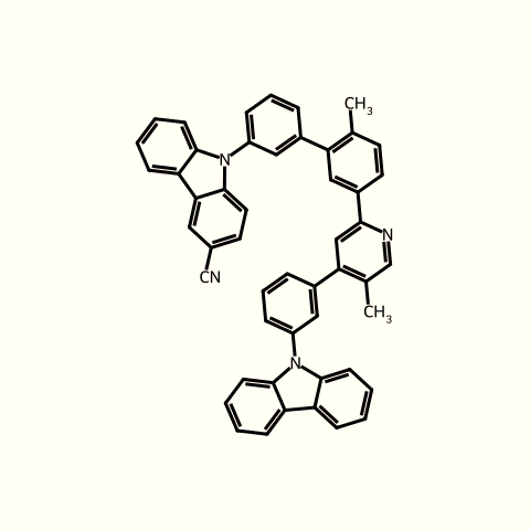 Cc1ccc(-c2cc(-c3cccc(-n4c5ccccc5c5ccccc54)c3)c(C)cn2)cc1-c1cccc(-n2c3ccccc3c3cc(C#N)ccc32)c1